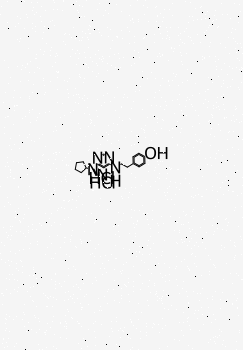 Cl.Cl.Oc1ccc(CCNc2ncnc3c2ncn3C2CCCC2)cc1